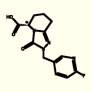 O=C(O)[C@@H]1CCCc2nn(Cc3ccc(F)nc3)c(=O)n21